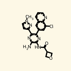 Cn1ccc(-c2nc(N)c(NC(=O)C3COC3)nc2-c2cc(Cl)c3ncccc3c2)n1